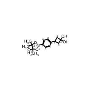 CC1(C)OB(c2ccc(C3CC(O)(O)C3)cc2)OC1(C)C